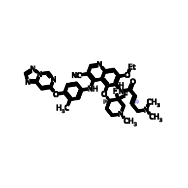 CCOc1cc2ncc(C#N)c(Nc3ccc(Oc4cc5ncnn5cn4)c(C)c3)c2c(O[C@@H]2CCN(C)CC2(F)F)c1NC(=O)/C=C/CN(C)C